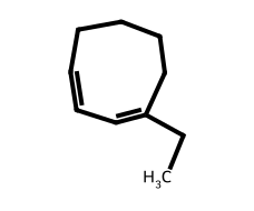 CC/C1=C/C=C\CCCC1